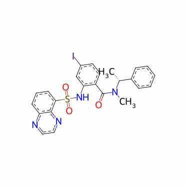 C[C@H](c1ccccc1)N(C)C(=O)c1ccc(I)cc1NS(=O)(=O)c1cccc2nccnc12